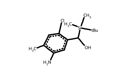 Cc1cc(Cl)c(C(O)[Si](C)(C)C(C)(C)C)cc1N